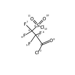 O=C(Cl)C(F)(F)C(F)(F)S(=O)(=O)Cl